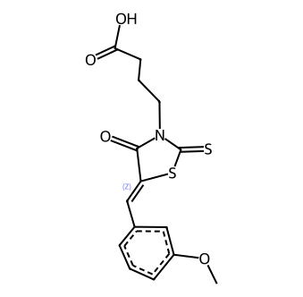 COc1cccc(/C=C2\SC(=S)N(CCCC(=O)O)C2=O)c1